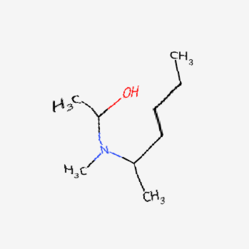 CCCCC(C)N(C)C(C)O